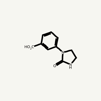 O=C(O)c1cccc(N2CCNC2=O)c1